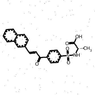 C[C@H](NS(=O)(=O)c1ccc(C(=O)/C=C/c2ccc3ccccc3c2)cc1)C(=O)O